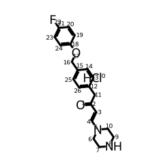 Cl.O=C(C=CN1CCNCC1)Cc1ccc(COc2ccc(F)cc2)cc1